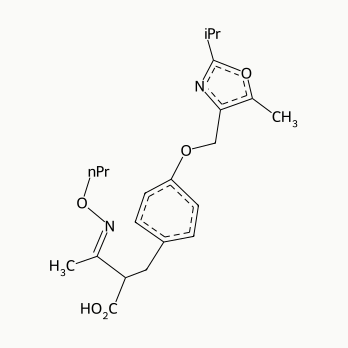 CCCON=C(C)C(Cc1ccc(OCc2nc(C(C)C)oc2C)cc1)C(=O)O